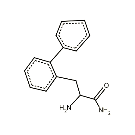 NC(=O)C(N)Cc1ccccc1-c1ccccc1